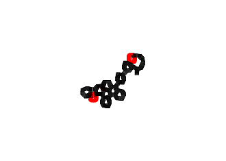 C=C1/C=C\C=C/COc2ccc(-c3ccc(-c4c5ccccc5c(-c5ccccc5-c5cccc6c5oc5ccccc56)c5ccccc45)cc3)cc21